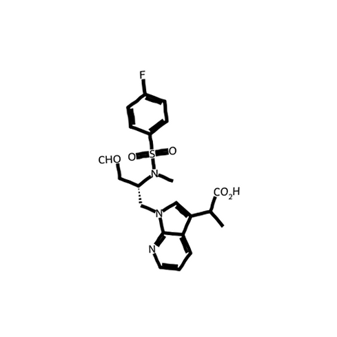 CC(C(=O)O)c1cn(C[C@H](CC=O)N(C)S(=O)(=O)c2ccc(F)cc2)c2ncccc12